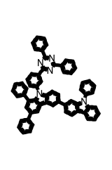 c1ccc(-c2cc(-c3ccccc3)c3c(c2)c2cc(-c4ccc5c6ccccc6n(-c6ccccc6)c5c4)ccc2n3-c2cccc(-c3nc(-c4ccccc4)nc(-c4ccccc4)n3)c2)cc1